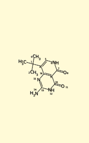 CC(C)(C)c1c[nH]c(=O)c2c(=O)[nH]c(N)nc12